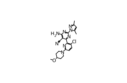 COC1CCN(c2ccc(Cl)c(-c3nc(-n4nc(C)cc4C)nc(N)c3C#N)n2)CC1